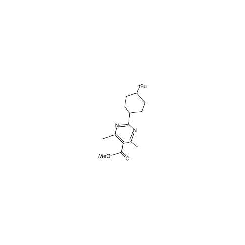 COC(=O)c1c(C)nc(C2CCC(C(C)(C)C)CC2)nc1C